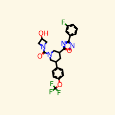 O=C(N1CC(O)C1)N1CC(c2ccc(OC(F)(F)F)cc2)CC(c2nc(-c3cccc(F)c3)no2)C1